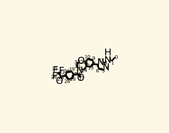 CCNc1nccc(-c2ccc3c(c2)CN(C(=O)c2ccc(C(=O)C(F)(F)F)cc2)CCO3)n1